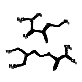 C=C(C(=O)OCC)N(C)C.C=C(C)C(=O)OCCN(CC)CC